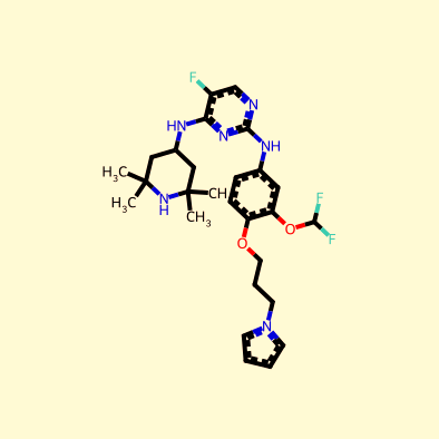 CC1(C)CC(Nc2nc(Nc3ccc(OCCCn4cccc4)c(OC(F)F)c3)ncc2F)CC(C)(C)N1